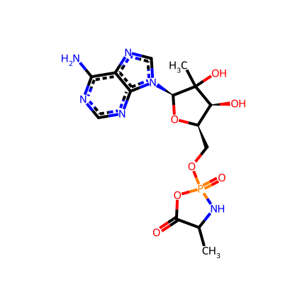 CC1NP(=O)(OC[C@H]2O[C@@H](n3cnc4c(N)ncnc43)C(C)(O)[C@H]2O)OC1=O